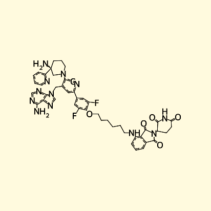 Nc1ncnc2c1ncn2Cc1cc(-c2cc(F)c(OCCCCCCNc3cccc4c3C(=O)N(C3CCC(=O)NC3=O)C4=O)c(F)c2)ncc1N1CCC[C@@](N)(c2ccccn2)C1